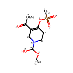 COC(=O)C1=C(OS(=O)(=O)C(F)(F)F)CCN(C(O)OC(C)(C)C)C1